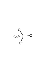 [Ga+3].[O-]B([O-])[O-]